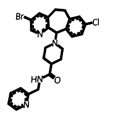 O=C(NCc1ccccn1)C1CCN(C2c3ccc(Cl)cc3CCc3cc(Br)cnc32)CC1